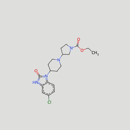 CCOC(=O)N1CCC(N2CCC(n3c(=O)[nH]c4cc(Cl)ccc43)CC2)C1